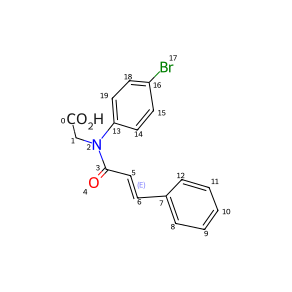 O=C(O)CN(C(=O)/C=C/c1ccccc1)c1ccc(Br)cc1